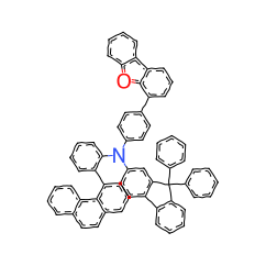 c1ccc(C2(c3ccccc3)c3ccccc3-c3ccc(N(c4ccc(-c5cccc6c5oc5ccccc56)cc4)c4ccccc4-c4cccc5ccc6ccccc6c45)cc32)cc1